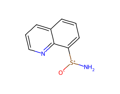 N[S+]([O-])c1cccc2cccnc12